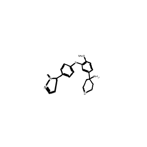 COc1ccc(C2(N)CCOCC2)cc1Sc1ccc(C2CC=NN2C)cc1